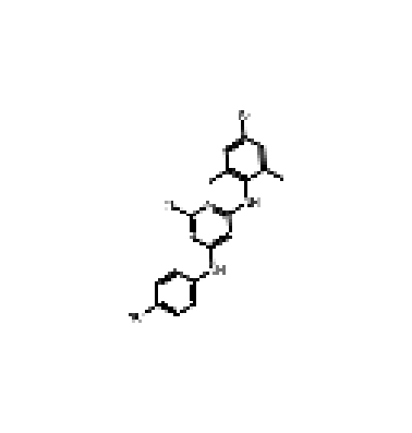 Cc1cc(Br)cc(C)c1Nc1nc(Cl)nc(Nc2ccc(C#N)cc2)n1